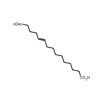 CCCCCCCCCCCCCC=CCCCCCCCCC(=O)O